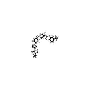 CC(C)(O)C1CCN(c2ncc(-c3ccc(Oc4ncc(NC(=O)Nc5cccc(C(F)(F)F)c5)cn4)cc3)s2)C1=O